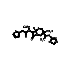 CON(C(=O)Cc1cccs1)C1C(=O)N2CC(C(=O)O)(C(C)Sc3nnn[nH]3)CS[C@H]12